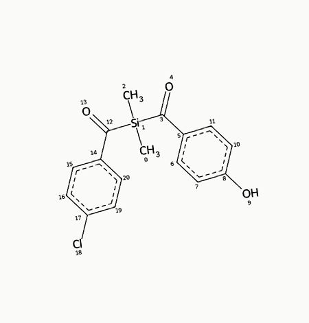 C[Si](C)(C(=O)c1ccc(O)cc1)C(=O)c1ccc(Cl)cc1